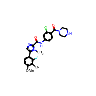 COc1ccc(-c2cnc(C(=O)Nc3ccc(C(=O)N4CCNCC4)c(Cl)c3)n2C)c(F)c1C#N